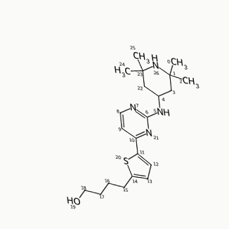 CC1(C)CC(Nc2nccc(-c3ccc(CCCCO)s3)n2)CC(C)(C)N1